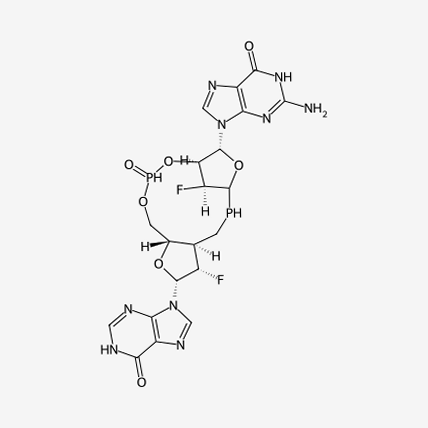 Nc1nc2c(ncn2[C@@H]2OC3PC[C@H]4[C@H](F)[C@H](n5cnc6c(=O)[nH]cnc65)O[C@@H]4CO[PH](=O)O[C@@H]2[C@@H]3F)c(=O)[nH]1